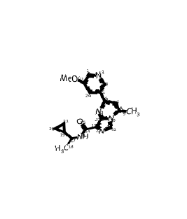 COc1cncc(-c2cc(C)n3cnc(C(=O)NC(C)C4CC4)c3n2)c1